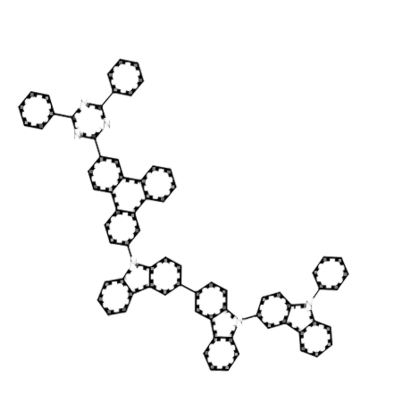 c1ccc(-c2nc(-c3ccccc3)nc(-c3ccc4c5ccc(-n6c7ccccc7c7cc(-c8ccc9c(c8)c8ccccc8n9-c8ccc9c(c8)c8ccccc8n9-c8ccccc8)ccc76)cc5c5ccccc5c4c3)n2)cc1